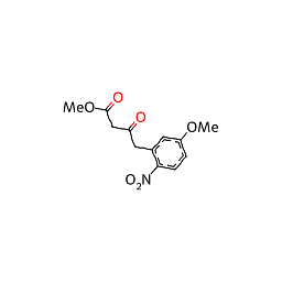 COC(=O)CC(=O)Cc1cc(OC)ccc1[N+](=O)[O-]